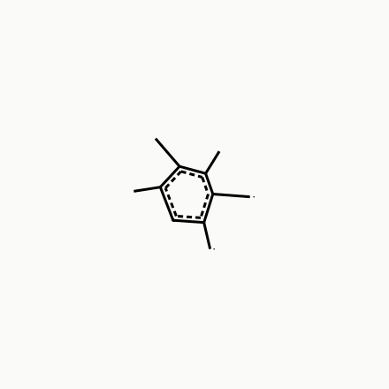 [CH2]c1cc(C)c(C)c(C)c1[CH2]